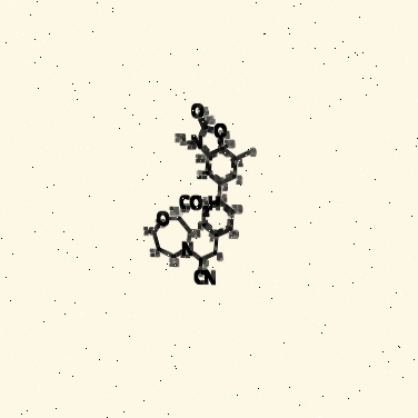 Cc1cc(-c2ccc(CC(C#N)N3CCCO[C@H](C(=O)O)C3)cc2)cc2c1oc(=O)n2C